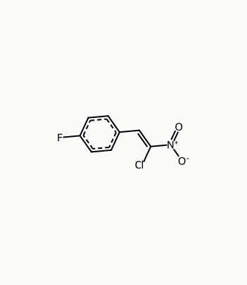 O=[N+]([O-])C(Cl)=Cc1ccc(F)cc1